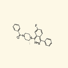 C[C@@H]1CN(C(=O)c2ccccc2)CCN1c1nnc(-c2ccccc2)c2ccc(F)cc12